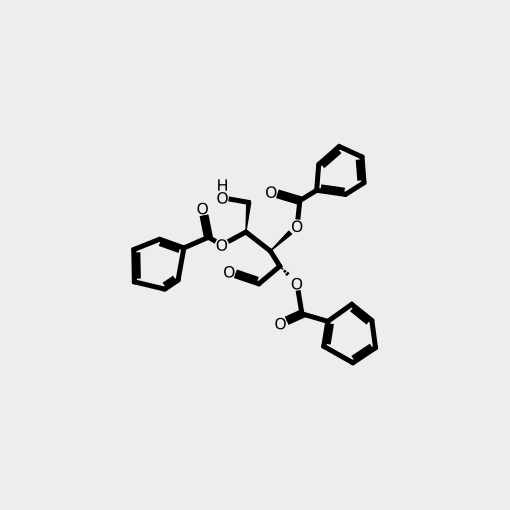 O=C[C@@H](OC(=O)c1ccccc1)[C@H](OC(=O)c1ccccc1)[C@H](CO)OC(=O)c1ccccc1